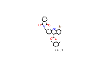 Cc1cc(C(=O)O)cc(C)c1OC(=O)c1c2ccccc2[n+](C)c2cc(CN3C(=O)c4ccccc4C3=O)ccc12.[Br-]